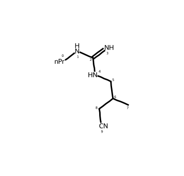 CCCNC(=N)NCC(C)CC#N